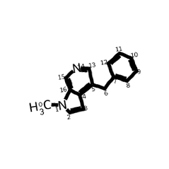 Cn1ccc2c(Cc3ccccc3)cncc21